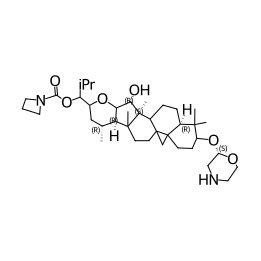 CC(C)C(OC(=O)N1CCC1)C1C[C@@H](C)[C@H]2C(O1)[C@H](O)[C@@]1(C)C3CC[C@H]4C(C)(C)C(O[C@H]5CNCCO5)CCC45CC35CCC21C